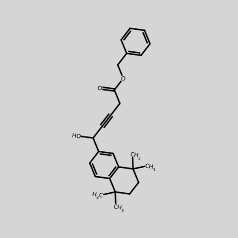 CC1(C)CCC(C)(C)c2cc(C(O)C#CCC(=O)OCc3ccccc3)ccc21